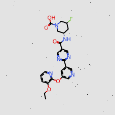 CCOc1cccnc1Oc1cncc(-c2ncc(C(=O)N[C@H]3C[C@H](F)CN(C(=O)O)C3)cn2)c1